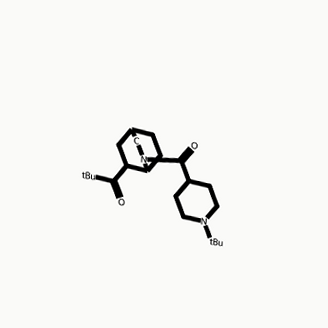 CC(C)(C)C(=O)C1CC2CCC1N(C(=O)C1CCN(C(C)(C)C)CC1)C2